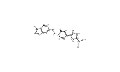 Cn1ncc2cc(OCc3ccc(-c4nnc(C(F)F)o4)cn3)ccc21